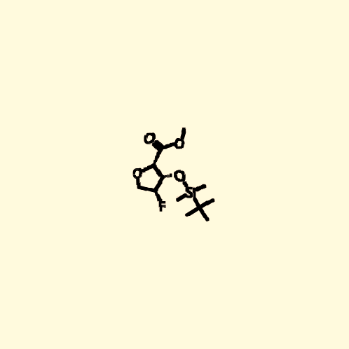 COC(=O)[C@@H]1OC[C@H](F)[C@H]1O[Si](C)(C)C(C)(C)C